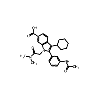 CC(=O)Nc1cccc(-c2c(C3CCCCC3)c3ccc(C(=O)O)cc3n2CC(=O)N(C)C)c1